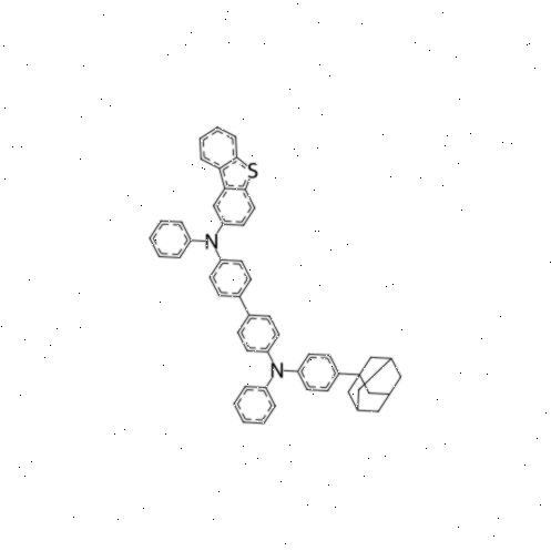 c1ccc(N(c2ccc(-c3ccc(N(c4ccccc4)c4ccc5sc6ccccc6c5c4)cc3)cc2)c2ccc(C34CC5CC(CC(C5)C3)C4)cc2)cc1